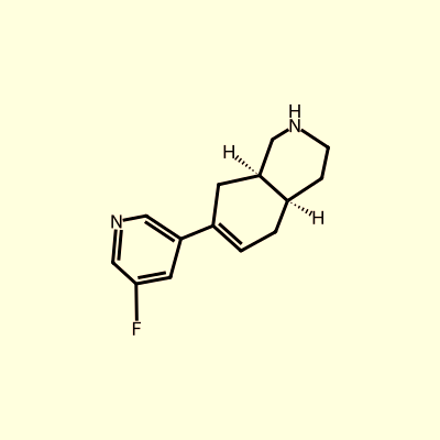 Fc1cncc(C2=CC[C@@H]3CCNC[C@@H]3C2)c1